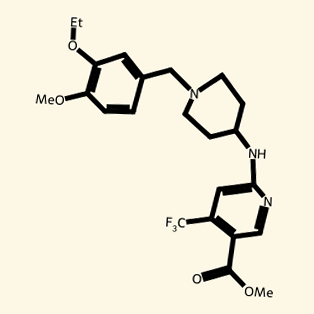 CCOc1cc(CN2CCC(Nc3cc(C(F)(F)F)c(C(=O)OC)cn3)CC2)ccc1OC